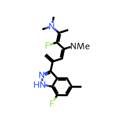 C=C(/C=C(NC)\C(F)=C(/C)N(C)C)c1n[nH]c2c(F)cc(C)cc12